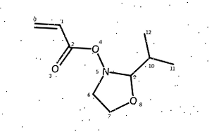 C=CC(=O)ON1CCOC1C(C)C